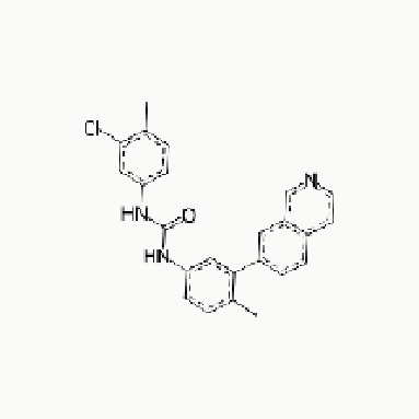 Cc1ccc(NC(=O)Nc2ccc(C)c(-c3ccc4ccncc4c3)c2)cc1Cl